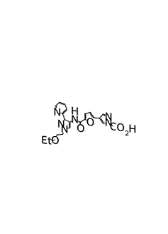 CCOCCn1cc(NC(=O)c2ccc(-c3cnn(C(=O)O)c3)o2)c(-c2ccccn2)n1